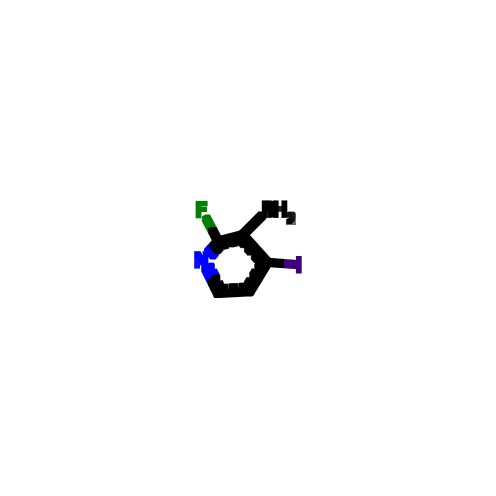 Bc1c(I)ccnc1F